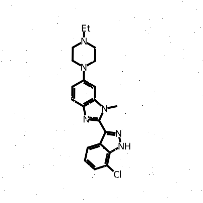 CCN1CCN(c2ccc3nc(-c4n[nH]c5c(Cl)cccc45)n(C)c3c2)CC1